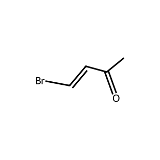 CC(=O)C=CBr